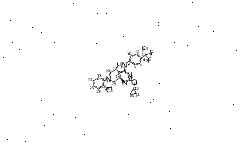 FC(F)(F)c1ccc(Nc2nc(OC3CC3)nc3c2CCN(c2ccccc2Cl)C3)cc1